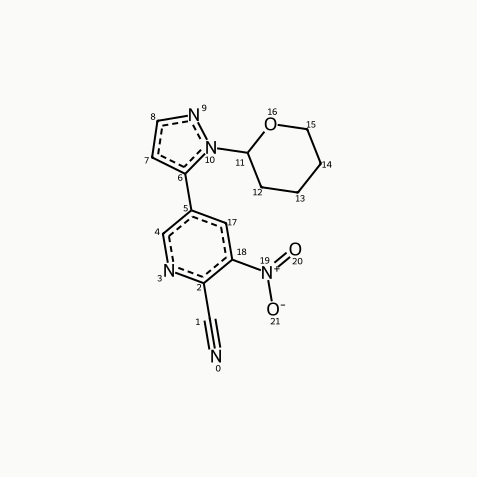 N#Cc1ncc(-c2ccnn2C2CCCCO2)cc1[N+](=O)[O-]